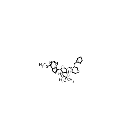 CSc1ncnn2c([C@@H]3O[C@H](CN4CCOC[C@H]4CN4CCCC4)[C@H]4OC(C)(C)O[C@H]43)ccc12